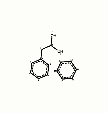 OC(O)Cc1ccccc1.c1ccccc1